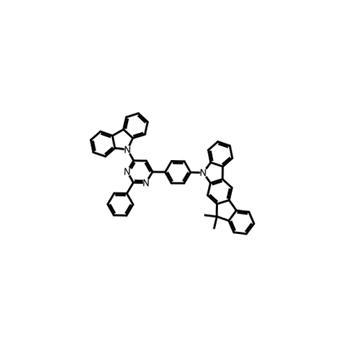 CC1(C)c2ccccc2-c2cc3c4ccccc4n(-c4ccc(-c5cc(-n6c7ccccc7c7ccccc76)nc(-c6ccccc6)n5)cc4)c3cc21